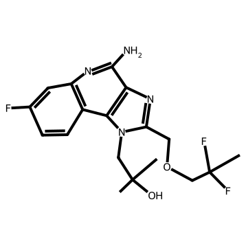 CC(C)(O)Cn1c(COCC(C)(F)F)nc2c(N)nc3cc(F)ccc3c21